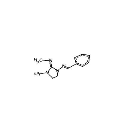 CCCN1CCN(/N=C/c2ccccc2)/C1=N/C